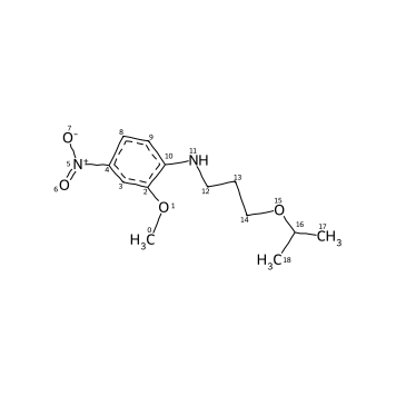 COc1cc([N+](=O)[O-])ccc1NCCCOC(C)C